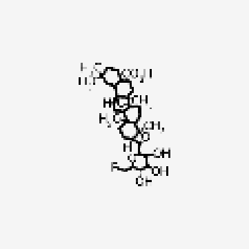 CC1(C)CC[C@]2(C(=O)O)CC[C@]3(C)C(=CCC4[C@@]5(C)CC[C@H]6C([C@@H]7OC(CF)[C@@H](O)C(O)C7O)O[C@@]6(C)C5CC[C@]43C)C2C1